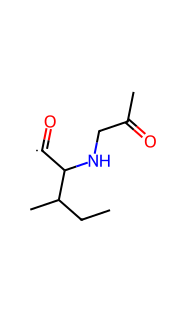 CCC(C)C([C]=O)NCC(C)=O